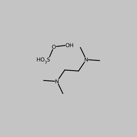 CN(C)CCN(C)C.O=S(=O)(O)OO